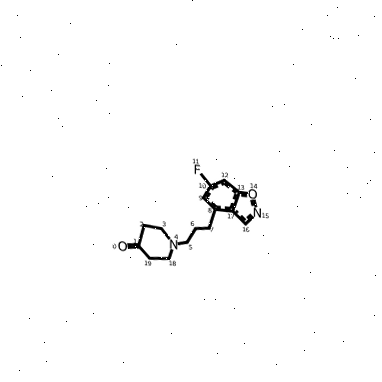 O=C1CCN(CCCc2cc(F)cc3oncc23)CC1